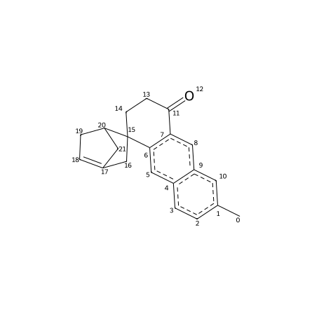 Cc1ccc2cc3c(cc2c1)C(=O)CCC31CC2=CCC1C2